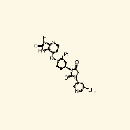 CC(C)c1cc(N2C(=O)CN(c3cncc(C(F)(F)F)c3)C2=O)ccc1Oc1ccnc2[nH]c(=O)[nH]c12